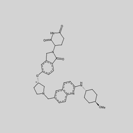 CO[C@H]1CC[C@H](Nc2ccc3cc(CN4CC[C@H](Oc5ccc6c(c5)CN(C5CCC(=O)NC5=O)C6=O)C4)ccc3n2)CC1